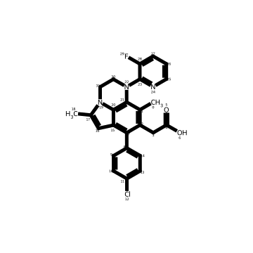 Cc1c(CC(=O)O)c(-c2ccc(Cl)cc2)c2cc(C)n3c2c1N(c1ncccc1F)CC3